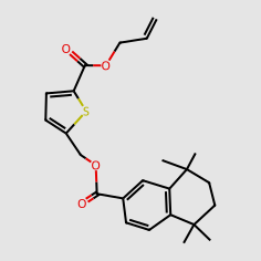 C=CCOC(=O)c1ccc(COC(=O)c2ccc3c(c2)C(C)(C)CCC3(C)C)s1